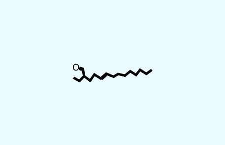 CCCCCCCCC=CCCC(C=O)CC